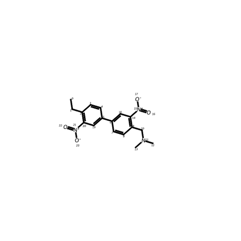 CCc1ccc(-c2ccc(CN(C)C)c([N+](=O)[O-])c2)cc1[N+](=O)[O-]